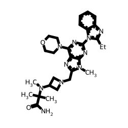 CCc1nc2ccccc2n1-c1nc(N2CCOCC2)c2nc(CN3CC(N(C)C(C)(C)C(N)=O)C3)n(C)c2n1